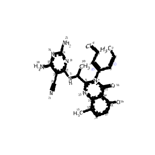 C/C=C\C(=C/CCl)n1c(C(C)Nc2nc(N)nc(N)c2C#N)nc2c(C)ccc(Cl)c2c1=O